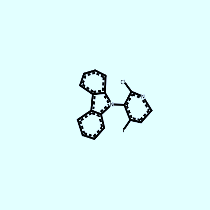 Clc1nccc(I)c1-n1c2ccccc2c2ccccc21